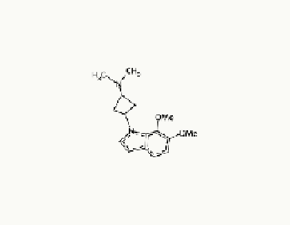 COc1ccc2ccn(C3CC(N(C)C)C3)c2c1OC